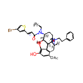 CC(=O)Oc1cc(O)c2c3c1C[C@@H]1[C@@H]4CC[C@H](N(CC(C)C)C(=O)/C=C/c5cc(Br)cs5)[C@H](O2)[C@]34CCN1CCc1ccccc1